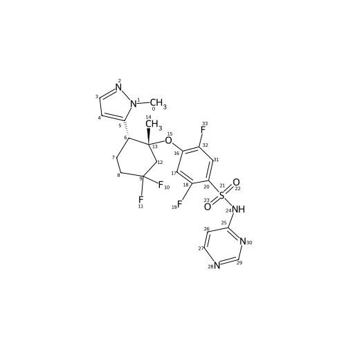 Cn1nccc1[C@H]1CCC(F)(F)C[C@@]1(C)Oc1cc(F)c(S(=O)(=O)Nc2ccncn2)cc1F